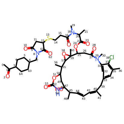 CC(=O)C1CCC(CN2C(=O)CC(SCCC(=O)N(C)C(C)C(=O)OC3CC(=O)N(C)c4cc(cc(C)c4Cl)C/C(C)=C/C=C/C(C)C4(O)CC(OC(=O)N4)C(C)C4OC34C)C2=O)CC1